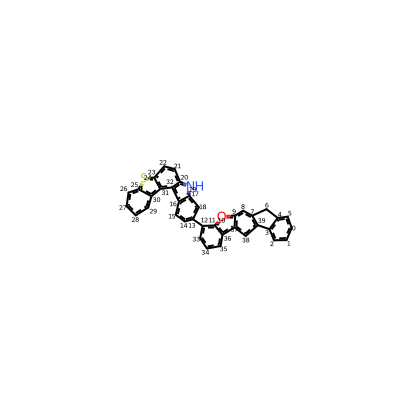 c1ccc2c(c1)Cc1cc3oc4c(-c5ccc6c(c5)[nH]c5ccc7sc8ccccc8c7c56)cccc4c3cc1-2